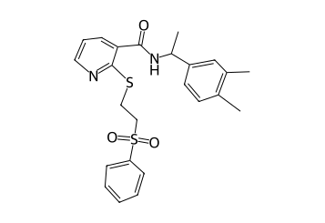 Cc1ccc(C(C)NC(=O)c2cccnc2SCCS(=O)(=O)c2ccccc2)cc1C